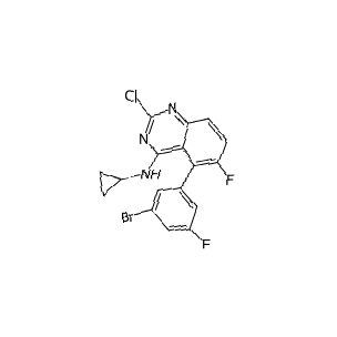 Fc1cc(Br)cc(-c2c(F)ccc3nc(Cl)nc(NC4CC4)c23)c1